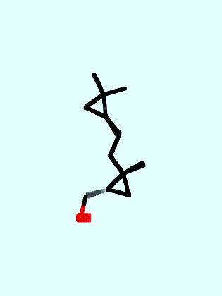 CC1(C)C[C@@H]1CC[C@]1(C)C[C@@H]1CO